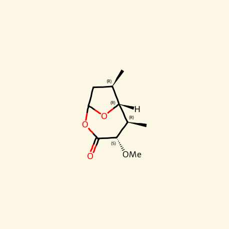 CO[C@@H]1C(=O)OC2C[C@@H](C)[C@@H](O2)[C@H]1C